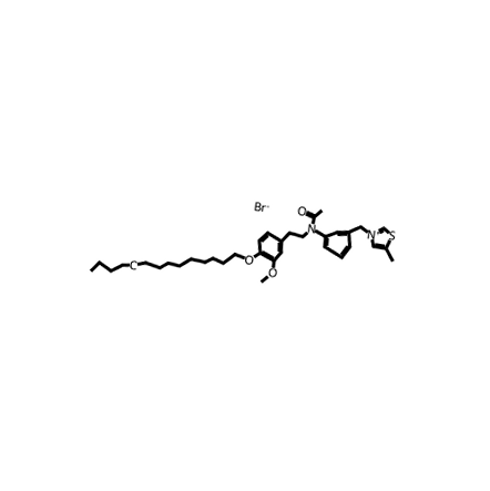 CCCCCCCCCCCCCCOc1ccc(CCN(C(C)=O)c2cccc(C[n+]3csc(C)c3)c2)cc1OC.[Br-]